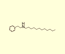 CCCCCCCCCCCCNCCc1ccccc1